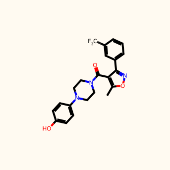 Cc1onc(-c2cccc(C(F)(F)F)c2)c1C(=O)N1CCN(c2ccc(O)cc2)CC1